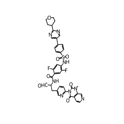 Cn1c(=O)n(-c2ccc(CC(C=O)NC(=O)c3cc(F)c(NS(=O)(=O)c4ccc(-c5cnc(C6CCOCC6)nc5)cc4)cc3F)cn2)c(=O)c2ccncc21